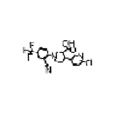 N#Cc1cc(C(F)(F)F)ccc1N1CCC(c2ccc(Cl)nc2)C(C(=O)O)C1